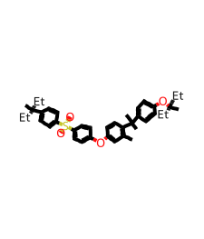 CCC(C)(CC)Oc1ccc(C(C)(C)c2ccc(Oc3ccc(S(=O)(=O)c4ccc(C(C)(CC)CC)cc4)cc3)cc2C)cc1